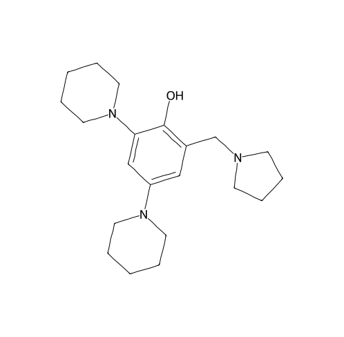 Oc1c(CN2CCCC2)cc(N2CCCCC2)cc1N1CCCCC1